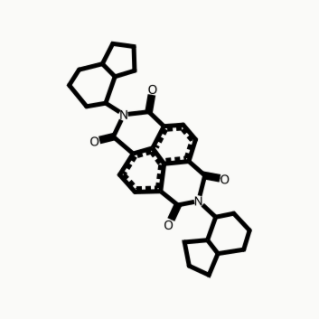 O=C1c2ccc3c4c(ccc(c24)C(=O)N1C1CCCC2CCCC21)C(=O)N(C1CCCC2CCCC21)C3=O